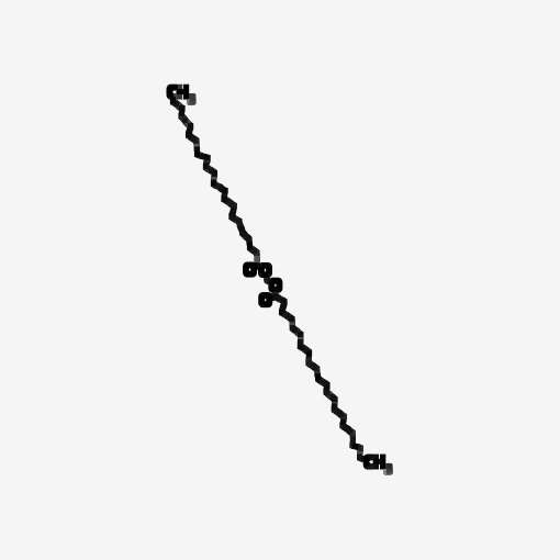 CCCCCCCCCCCCCCCCCCCCCC(=O)OCOC(=O)CCCCCCCCCCCCCCCCCCCCC